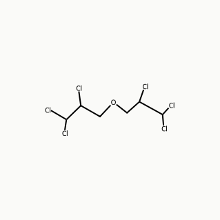 ClC(Cl)C(Cl)COCC(Cl)C(Cl)Cl